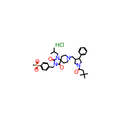 CC(C)CN1C(=O)N(Cc2ccc(S(C)(=O)=O)cc2)C(=O)C12CCN(CC1CN(C(=O)CC(C)(C)C)CC1c1ccccc1)CC2.Cl